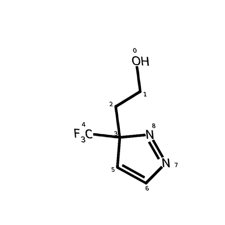 OCCC1(C(F)(F)F)C=CN=N1